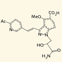 COc1c(C(=O)O)ccc2c1c(C=Cc1ccc(C(C)=O)nc1)nn2CC(O)C(N)=O